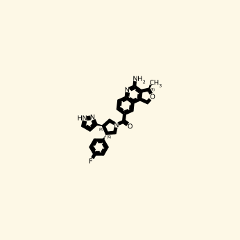 C[C@H]1OCc2c1c(N)nc1ccc(C(=O)N3C[C@H](c4ccc(F)cc4)[C@@H](c4cc[nH]n4)C3)cc21